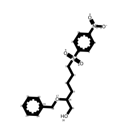 O=[N+]([O-])c1ccc(S(=O)(=O)CCCCC(CO)OCc2ccccc2)cc1